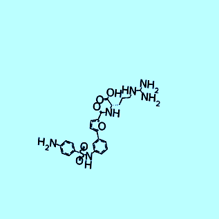 Nc1ccc(S(=O)(=O)Nc2cccc(-c3ccc(C(=O)N[C@@H](CCCNC(N)N)C(=O)O)o3)c2)cc1